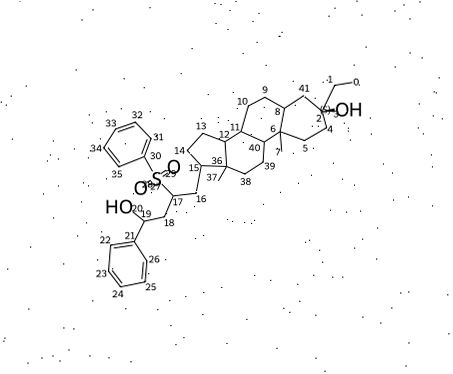 CC[C@]1(O)CCC2(C)C(CCC3C4CCC(CC(CC(O)c5ccccc5)S(=O)(=O)c5ccccc5)C4(C)CCC32)C1